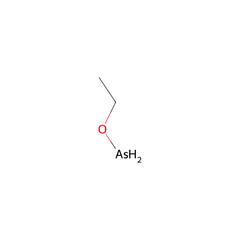 CCO[AsH2]